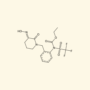 CCOC(=O)N(c1ccccc1CN1CCCC(=NO)C1=O)S(=O)(=O)C(F)(F)F